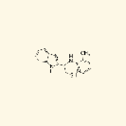 Cc1cccnc1NC(CS)c1nc2ccccc2[nH]1